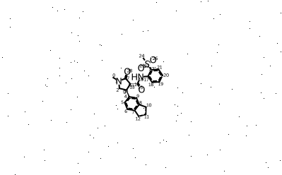 CN1C[C@H](c2ccc3c(c2)CCC3)[C@@H](C(=O)Nc2ccccc2S(C)(=O)=O)C1=O